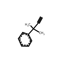 [C]#CC(C)(C)c1ccccc1